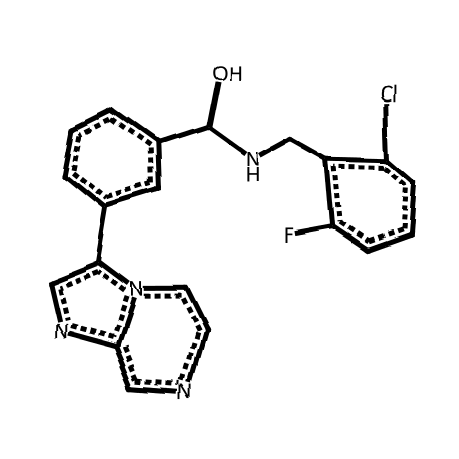 OC(NCc1c(F)cccc1Cl)c1cccc(-c2cnc3cnccn23)c1